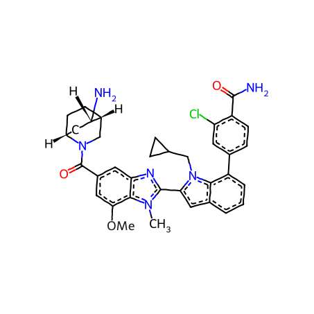 COc1cc(C(=O)N2C[C@H]3CC[C@@H]2C[C@@H]3N)cc2nc(-c3cc4cccc(-c5ccc(C(N)=O)c(Cl)c5)c4n3CC3CC3)n(C)c12